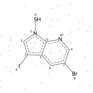 Sn1cc(I)c2cc(Br)cnc21